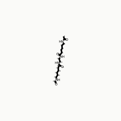 CC(=O)NCCCCCC(=O)NCCNC(=O)CCCCCNC=O